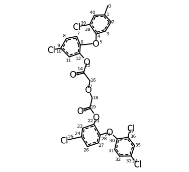 Cc1ccc(Oc2ccc(Cl)cc2OC(=O)COCC(=O)Oc2cc(Cl)ccc2Oc2ccc(Cl)cc2Cl)c(Cl)c1